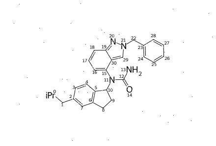 CC(C)Cc1ccc2c(c1)CCC2N(C(N)=O)c1cccc2nn(Cc3ccccc3)cc12